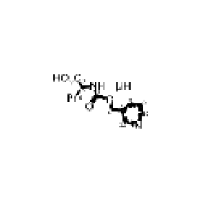 CC(C)[C@H](NC(=O)OCc1cccnc1)C(=O)O.[LiH]